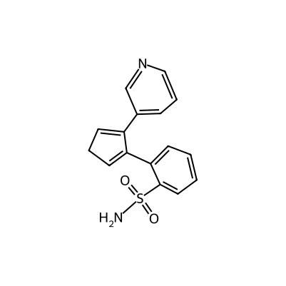 NS(=O)(=O)c1ccccc1C1=CCC=C1c1cccnc1